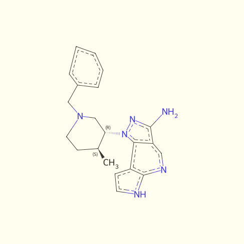 C[C@H]1CCN(Cc2ccccc2)C[C@@H]1n1nc(N)c2cnc3[nH]ccc3c21